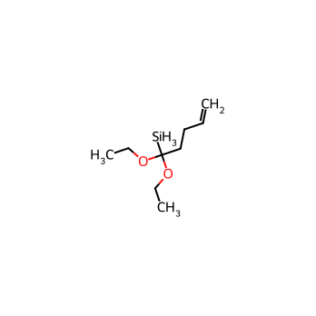 C=CCCC([SiH3])(OCC)OCC